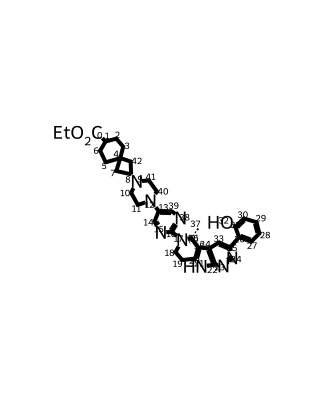 CCOC(=O)C1CCC2(CC1)CC(N1CCN(c3cnc(N4CCc5[nH]c6nnc(-c7ccccc7O)cc6c5[C@H]4C)nc3)CC1)C2